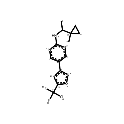 CC(Nc1ncc(-c2noc(C(F)(F)Cl)n2)cn1)C1(C)CC1